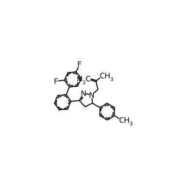 C=C(C)CN1N=C(c2ccccc2-c2ccc(F)cc2F)CC1c1ccc(C)cc1